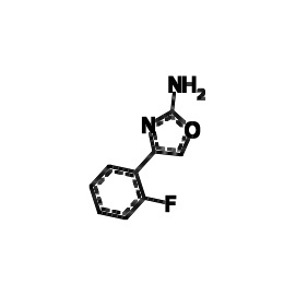 Nc1nc(-c2ccccc2F)co1